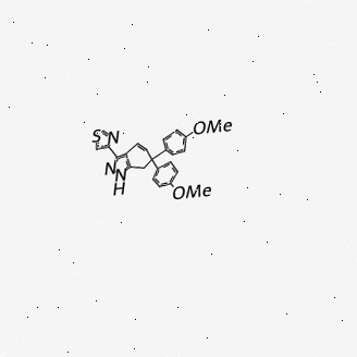 COc1ccc(C2(c3ccc(OC)cc3)C=Cc3c(-c4cscn4)n[nH]c3C2)cc1